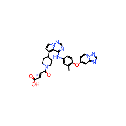 Cc1cc(Nc2ncnn3ccc(C4CCN(C(=O)/C=C/C(=O)O)CC4)c23)ccc1Oc1ccn2ncnc2c1